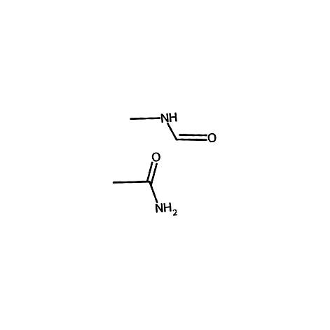 CC(N)=O.CNC=O